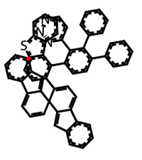 C1=CC2(C3=Cc4ccccc4C3=C1)C1=Cc3ccccc3C1=CC=C2c1ccc2sc3ccccc3c2c1-c1ccc(-c2ccccc2)c(-c2ccccc2)c1-c1ccnnn1